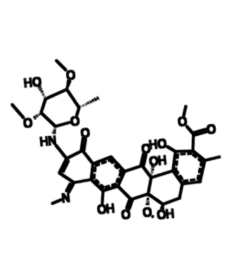 C/N=C1\C=C(N[C@H]2O[C@@H](C)[C@H](OC)[C@@H](O)[C@H]2OC)C(=O)c2cc3c(c(O)c21)C(=O)[C@]1(OC)[C@H](O)Cc2cc(C)c(C(=O)OC)c(O)c2[C@]1(O)C3=O